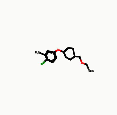 Cc1cc(OC2CCC(COCC=O)CC2)ccc1Br